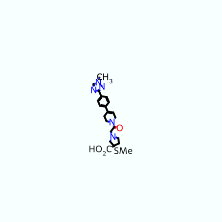 CSC1(C(=O)O)CCN(CC(=O)N2CC=C(c3ccc(-c4ncn(C)n4)cc3)CC2)C1